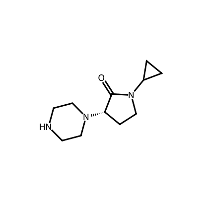 O=C1[C@@H](N2CCNCC2)CCN1C1CC1